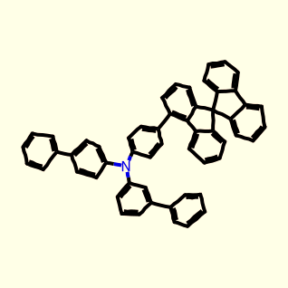 c1ccc(-c2ccc(N(c3ccc(-c4cccc5c4-c4ccccc4C54c5ccccc5-c5ccccc54)cc3)c3cccc(-c4ccccc4)c3)cc2)cc1